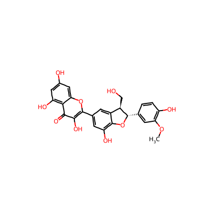 COc1cc([C@@H]2Oc3c(O)cc(-c4oc5cc(O)cc(O)c5c(=O)c4O)cc3[C@H]2CO)ccc1O